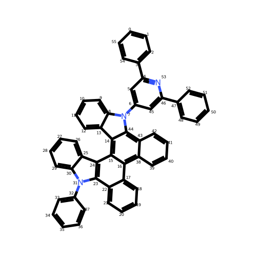 c1ccc(-c2cc(-n3c4ccccc4c4c5c(c6ccccc6c6c5c5ccccc5n6-c5ccccc5)c5ccccc5c43)cc(-c3ccccc3)n2)cc1